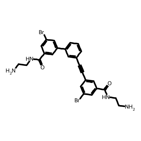 NCCNC(=O)c1cc(Br)cc(C#Cc2cccc(-c3cc(Br)cc(C(=O)NCCN)c3)c2)c1